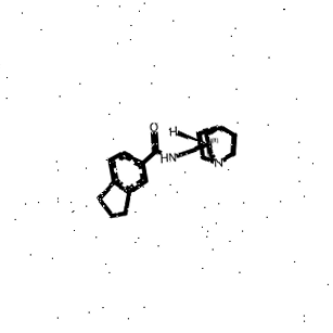 O=C(N[C@@H]1CC2CCN(CC2)C1)c1ccc2c(c1)CCC2